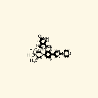 C[C@@H]1CN(c2cc(F)c(-c3cnc(N4CCOCC4)nc3)c(F)c2NC(=O)c2c[nH]c(=O)cc2C(F)(F)F)C[C@H](C)N1C